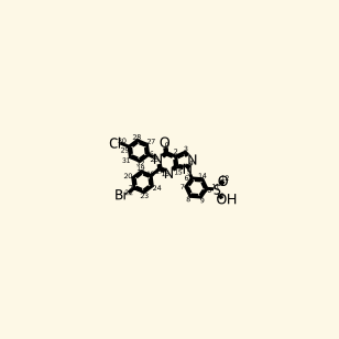 O=c1c2cnn(-c3cccc(S(=O)O)c3)c2nc(-c2ccc(Br)cc2)n1-c1ccc(Cl)cc1